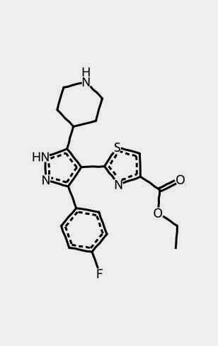 CCOC(=O)c1csc(-c2c(-c3ccc(F)cc3)n[nH]c2C2CCNCC2)n1